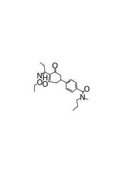 CCCN(C)C(=O)c1ccc(C2CC(=O)C(/C(CC)=N\OCC)=C(O)C2)cc1